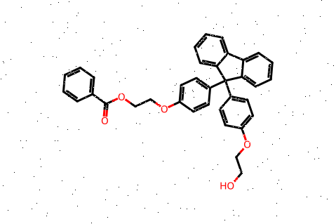 O=C(OCCOc1ccc(C2(c3ccc(OCCO)cc3)c3ccccc3-c3ccccc32)cc1)c1ccccc1